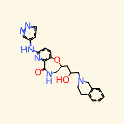 O=C1NCC(CC(O)CN2CCc3ccccc3C2)Oc2ccc(Nc3ccnnc3)nc21